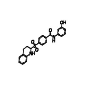 O=C(Nc1cccc(O)c1)c1ccc(S(=O)(=O)C2CCc3ccccc3N2)cc1